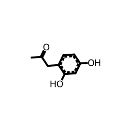 CC(=O)Cc1ccc(O)cc1O